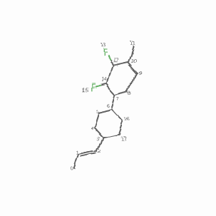 C/C=C/C1CCC(C2CCC(C)C(F)C2F)CC1